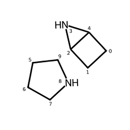 C1CC2NC12.C1CCNC1